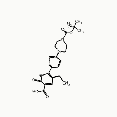 CCc1cc(C(=O)O)c(=O)[nH]c1-c1ccc(N2CCN(C(=O)OC(C)(C)C)CC2)cc1